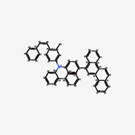 Cc1cc(N(c2ccc(-c3cc4c5ccccc5ccc4c4ccccc34)cc2)c2ccccc2-c2ccccc2)ccc1/C=C\c1ccccc1